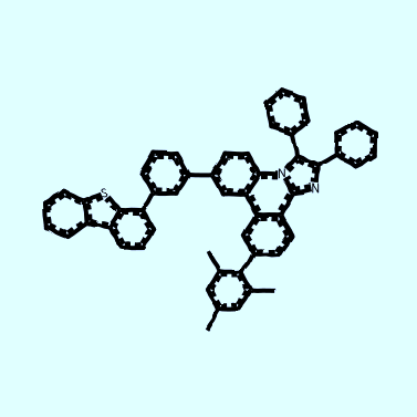 Cc1cc(C)c(-c2ccc3c(c2)c2cc(-c4cccc(-c5cccc6c5sc5ccccc56)c4)ccc2n2c(-c4ccccc4)c(-c4ccccc4)nc32)c(C)c1